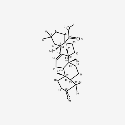 COC(=O)C12CCC(C)(C)C[C@H]1C1=CCC3[C@@]4(C)CCC(=O)C(C)(C)C4CC[C@@]3(C)[C@@]1(C)CC2